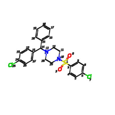 O=S(=O)(c1ccc(Cl)cc1)N1CCN(C(c2ccccc2)c2ccc(Cl)cc2)CC1